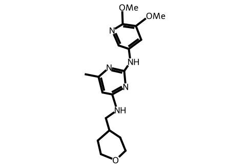 COc1cc(Nc2nc(C)cc(NCC3CCOCC3)n2)cnc1OC